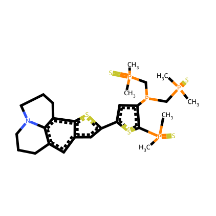 CP(C)(=S)CP(CP(C)(C)=S)c1cc(-c2cc3cc4c5c(c3s2)CCCN5CCC4)sc1P(C)(C)=S